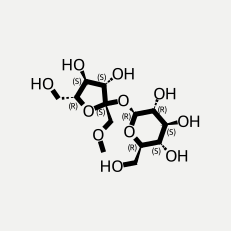 COC[C@@]1(O[C@H]2O[C@H](CO)[C@@H](O)[C@H](O)[C@H]2O)O[C@H](CO)[C@@H](O)[C@@H]1O